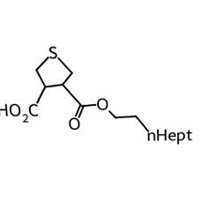 CCCCCCCCCOC(=O)C1CSCC1C(=O)O